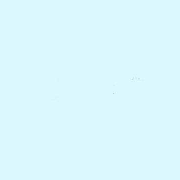 CC[CH]CCCc1ccc(SC(F)F)c(F)c1